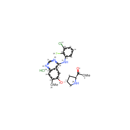 COC(=O)[C@@H]1C[C@@H](Oc2cc3c(Nc4cccc(Cl)c4F)ncnc3cc2OC)CN1.Cl